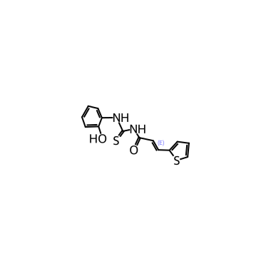 O=C(/C=C/c1cccs1)NC(=S)Nc1ccccc1O